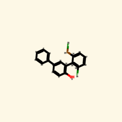 Oc1ccc(-c2ccccc2)cc1-c1c(F)cccc1SF